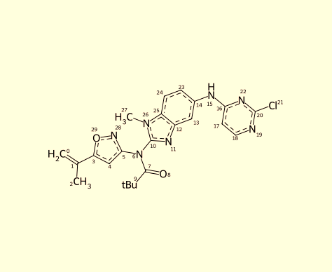 C=C(C)c1cc(N(C(=O)C(C)(C)C)c2nc3cc(Nc4ccnc(Cl)n4)ccc3n2C)no1